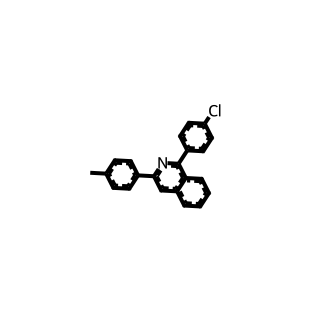 Cc1ccc(-c2cc3ccccc3c(-c3ccc(Cl)cc3)n2)cc1